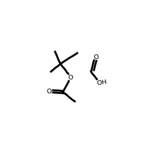 CC(=O)OC(C)(C)C.O=CO